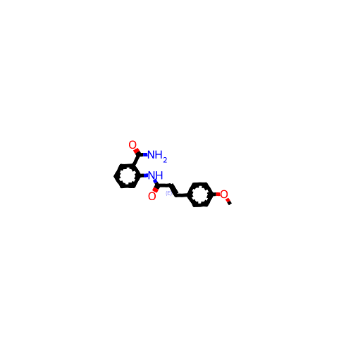 COc1ccc(/C=C/C(=O)Nc2ccccc2C(N)=O)cc1